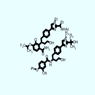 CC(C)Oc1ccc(C(=O)NC(CCO)Cc2ccc(-c3cn(C)c(C(C)(C)O)n3)cc2)cc1C#N.CCC(NC(C)=O)c1nc(-c2ccc(CC(CCO)c3c(C(N)=O)ccc(OC(C)C(F)(F)F)c3Cl)cc2)cn1CC